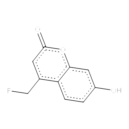 O=c1cc(CF)c2ccc(O)cc2o1